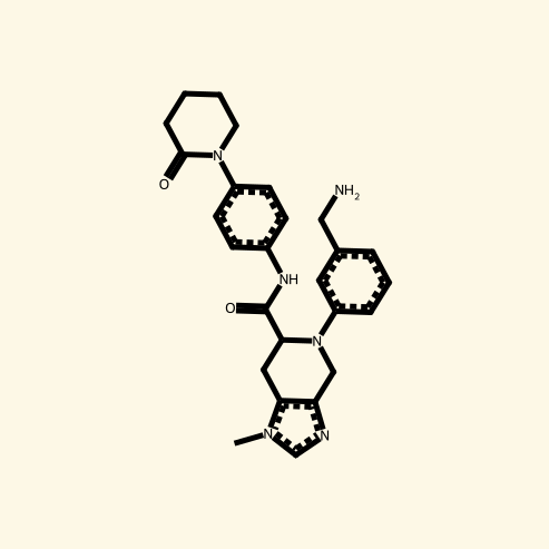 Cn1cnc2c1CC(C(=O)Nc1ccc(N3CCCCC3=O)cc1)N(c1cccc(CN)c1)C2